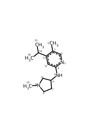 Cc1cnc(NC2CCN(C)C2)cc1C(C)C